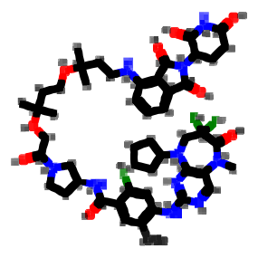 COc1cc(C(=O)N[C@H]2CCN(C(=O)COC(C)(C)CCOC(C)(C)CCNc3cccc4c3C(=O)N(C3CCC(=O)NC3=O)C4=O)C2)c(F)cc1Nc1ncc2c(n1)N(C1CCCC1)CC(F)(F)C(=O)N2C